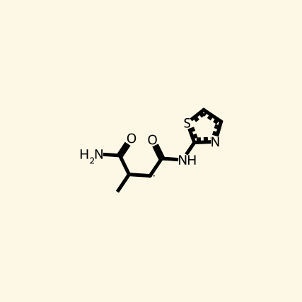 CC([CH]C(=O)Nc1nccs1)C(N)=O